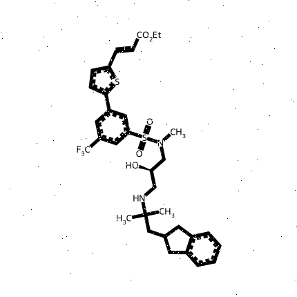 CCOC(=O)C=Cc1ccc(-c2cc(C(F)(F)F)cc(S(=O)(=O)N(C)C[C@H](O)CNC(C)(C)CC3Cc4ccccc4C3)c2)s1